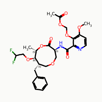 COc1ccnc(C(=O)N[C@H]2COC[C@H](Cc3ccccc3)[C@@H](OCC(F)F)[C@H](C)OC2=O)c1OCOC(C)=O